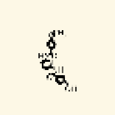 COc1ccc(C(=O)Nc2cccc(NC(=O)c3ccc(CO)cc3)n2)cc1